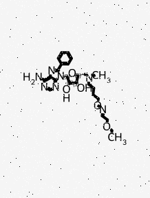 CCOCC=NOCCCCN(C)C[C@H]1O[C@@H](n2c(-c3ccccc3)nc3c(N)ncnc32)[C@H](O)[C@@H]1O